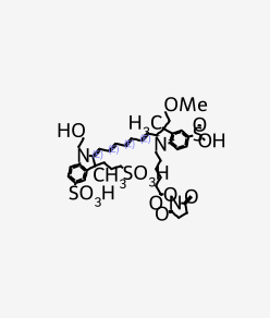 COCCC1(C)C(/C=C/C=C/C=C/C=C2/N(CCO)c3ccc(S(=O)(=O)O)cc3C2(C)CCCS(=O)(=O)O)=[N+](CCCCCC(=O)ON2C(=O)CCC2=O)c2ccc(S(=O)O)cc21